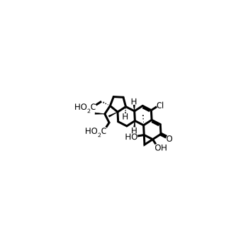 C[C@H](CC(=O)O)[C@@]1(CC(=O)O)CC[C@H]2[C@@H]3C=C(Cl)C4=CC(=O)C5(O)CC5(O)[C@@]4(C)[C@@H]3CC[C@@]21C